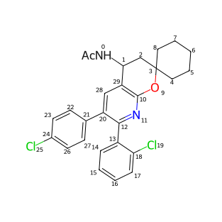 CC(=O)NC1CC2(CCCCC2)Oc2nc(-c3ccccc3Cl)c(-c3ccc(Cl)cc3)cc21